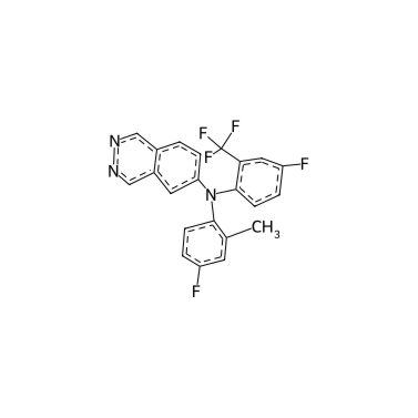 Cc1cc(F)ccc1N(c1ccc2cnncc2c1)c1ccc(F)cc1C(F)(F)F